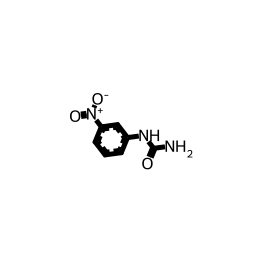 NC(=O)Nc1cccc([N+](=O)[O-])c1